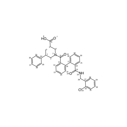 CC(CN(CCC(=O)O)C(=O)c1ccccc1-c1ccccc1C(=O)NCc1ccccc1Cl)c1ccccc1